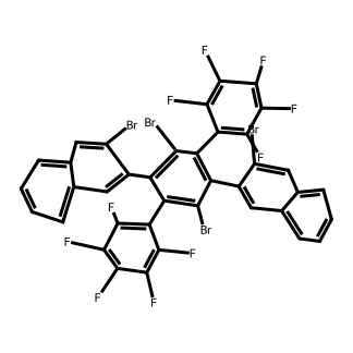 Fc1c(F)c(F)c(-c2c(Br)c(-c3cc4ccccc4cc3Br)c(-c3c(F)c(F)c(F)c(F)c3F)c(Br)c2-c2cc3ccccc3cc2Br)c(F)c1F